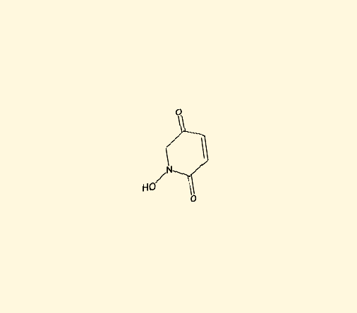 O=C1C=CC(=O)N(O)C1